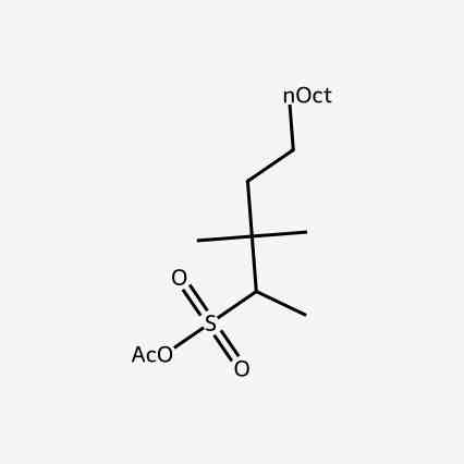 CCCCCCCCCCC(C)(C)C(C)S(=O)(=O)OC(C)=O